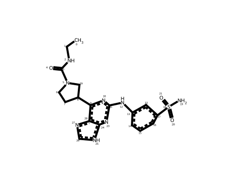 CCNC(=O)N1CCC(c2nc(Nc3cccc(S(N)(=O)=O)c3)nc3[nH]cnc23)C1